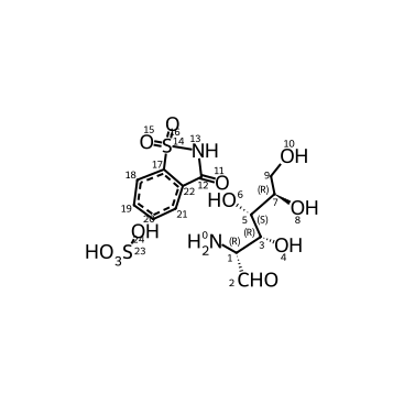 N[C@@H](C=O)[C@@H](O)[C@H](O)[C@H](O)CO.O=C1NS(=O)(=O)c2ccccc21.O=S(=O)(O)O